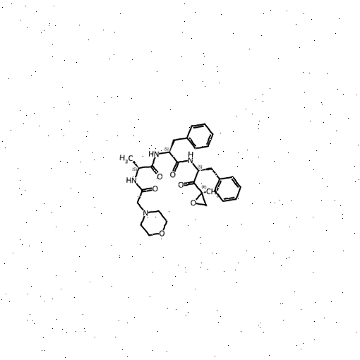 C[C@H](NC(=O)CN1CCOCC1)C(=O)N[C@@H](Cc1ccccc1)C(=O)N[C@@H](Cc1ccccc1)C(=O)[C@@]1(C)CO1